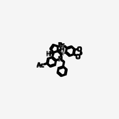 CC(=O)c1ccc2c(c1)[C@@H]1C=CC[C@@H]1[C@H](c1cc3c(cc1Br)OCO3)N2Cc1ccccc1